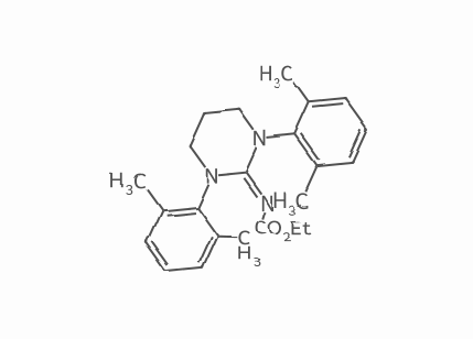 CCOC(=O)N=C1N(c2c(C)cccc2C)CCCN1c1c(C)cccc1C